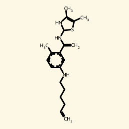 C=CCCCCNc1ccc(C)c(C(=C)NC2NC(C)=C(C)S2)c1